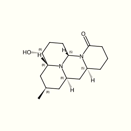 C[C@@H]1C[C@@H]2C[C@@H]3CCCC(=O)N3[C@H]3CC[C@@H](O)[C@@H](C1)N23